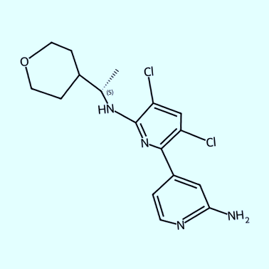 C[C@H](Nc1nc(-c2ccnc(N)c2)c(Cl)cc1Cl)C1CCOCC1